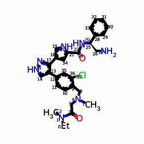 CCN(C)C(=O)CN(C)Cc1ccc(-c2c[nH]nc2-c2c[nH]c(C(=O)N[C@H](CN)c3ccccc3)c2)cc1Cl